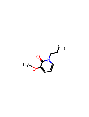 CCCn1cccc(OC)c1=O